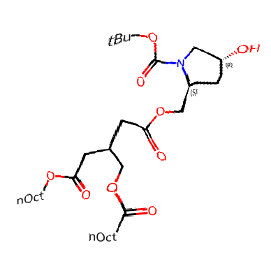 CCCCCCCCOC(=O)CC(COC(=O)CCCCCCCC)CC(=O)OC[C@@H]1C[C@@H](O)CN1C(=O)OC(C)(C)C